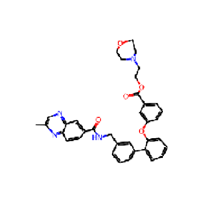 Cc1cnc2cc(C(=O)NCc3cccc(-c4ccccc4Oc4cccc(C(=O)OCCN5CCOCC5)c4)c3)ccc2n1